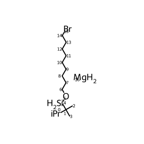 CC(C)C(C)(C)[SiH2]OCCCCCCCCCBr.[MgH2]